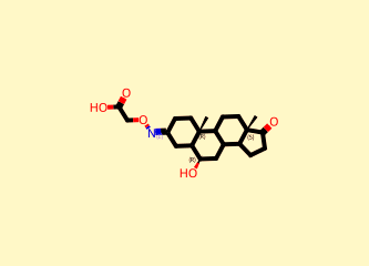 C[C@]12CC/C(=N\OCC(=O)O)CC1[C@H](O)CC1C2CC[C@]2(C)C(=O)CCC12